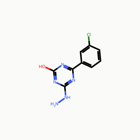 NNc1nc(O)nc(-c2cccc(Cl)c2)n1